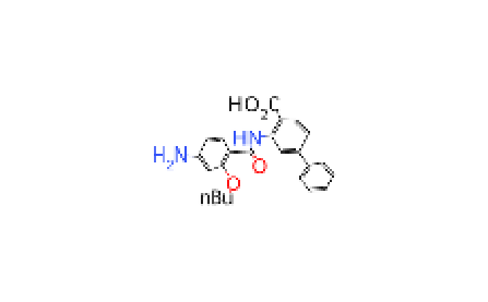 CCCCOc1cc(N)ccc1C(=O)Nc1cc(-c2ccccc2)ccc1C(=O)O